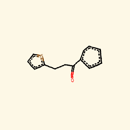 O=C(CCc1cccs1)c1ccccc1